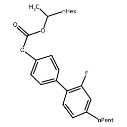 CCCCCCC(C)OC(=O)Oc1ccc(-c2ccc(CCCCC)cc2F)cc1